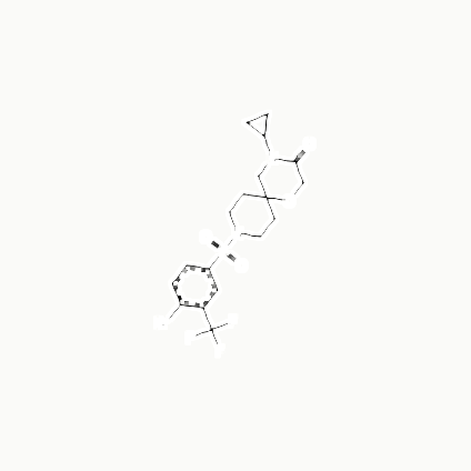 O=C1COC2(CCN(S(=O)(=O)c3ccc(Br)c(C(F)(F)F)c3)CC2)CN1C1CC1